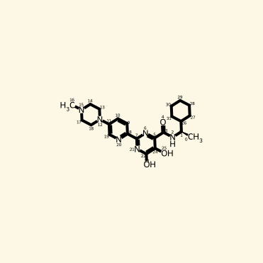 C[C@@H](NC(=O)c1nc(-c2ccc(N3CCN(C)CC3)cn2)nc(O)c1O)C1CCCCC1